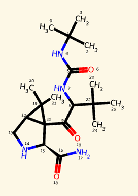 CC(C)(C)NC(=O)NC(C(=O)C12C(CN[C@@H]1C(N)=O)C2(C)C)C(C)(C)C